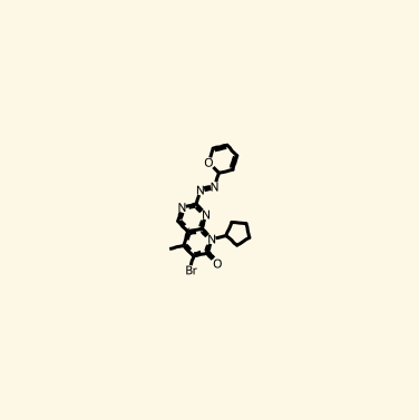 Cc1c(Br)c(=O)n(C2CCCC2)c2nc(N=NC3C=CC=CO3)ncc12